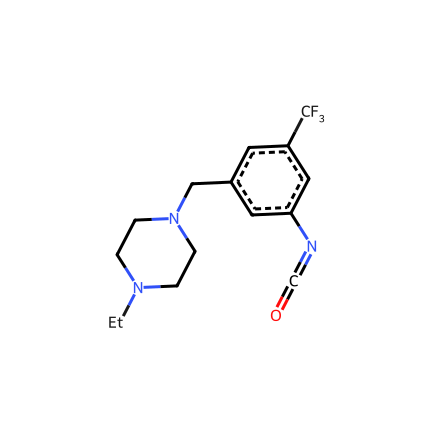 CCN1CCN(Cc2cc(N=C=O)cc(C(F)(F)F)c2)CC1